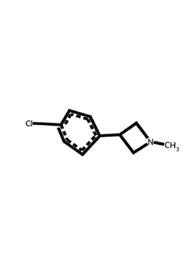 CN1CC(c2ccc(Cl)cc2)C1